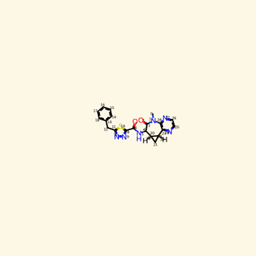 CN1C(=O)C(NC(=O)c2nnc(Cc3ccccc3)s2)[C@H]2C[C@H]2c2nccnc21